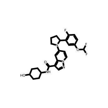 O=C(NC1CCC(O)CC1)c1cnn2ccc(N3CCCC3c3cc(OC(F)F)ccc3F)cc12